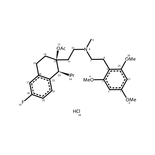 COc1cc(OC)c(CCN(C)CC[C@@]2(OC(C)=O)CCc3cc(F)ccc3[C@@H]2C(C)C)c(OC)c1.Cl